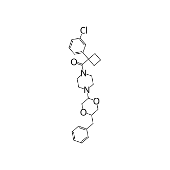 O=C(N1CCN(C2COC(Cc3ccccc3)CO2)CC1)C1(c2cccc(Cl)c2)CCC1